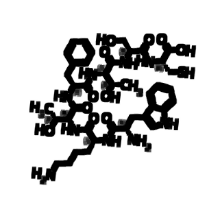 C[C@@H](O)[C@H](NC(=O)[C@H](Cc1ccccc1)NC(=O)[C@@H](NC(=O)[C@H](CCCCN)NC(=O)[C@@H](N)Cc1c[nH]c2ccccc12)[C@@H](C)O)C(=O)N[C@@H](CO)C(=O)N[C@@H](CS)C(=O)O